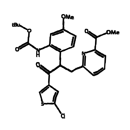 COC(=O)c1cccc(CC(C(=O)c2csc(Cl)c2)c2ccc(OC)cc2NC(=O)OC(C)(C)C)n1